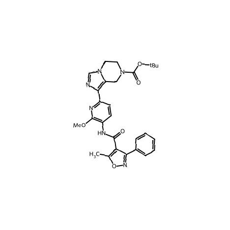 COc1nc(-c2ncn3c2CN(C(=O)OC(C)(C)C)CC3)ccc1NC(=O)c1c(-c2ccccc2)noc1C